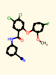 COc1cc(F)ccc1Oc1cc(Cl)c(Cl)cc1C(=O)Nc1cccc(C#N)c1